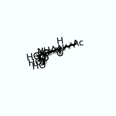 CC(=O)CCCCCNC(=O)CCCCOC1OC(CO)C(O)C(O)C1NC(C)=O